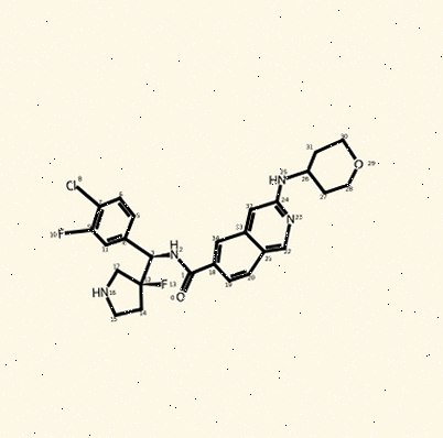 O=C(N[C@H](c1ccc(Cl)c(F)c1)[C@]1(F)CCNC1)c1ccc2cnc(NC3CCOCC3)cc2c1